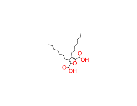 CCCCCCCc1c(C(=O)O)oc(C(=O)O)c1CCCCCCC